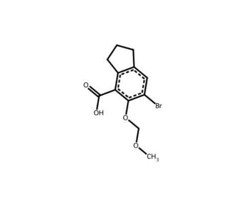 COCOc1c(Br)cc2c(c1C(=O)O)CCC2